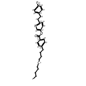 CCCCCCCCCCc1ccc(C(=O)Oc2ccc(CCc3ccc(F)cc3)nc2)cc1